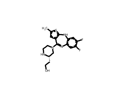 Cc1cc2c(s1)Nc1cc(F)c(F)cc1N=C2N1CCN[C@@H](CCO)C1